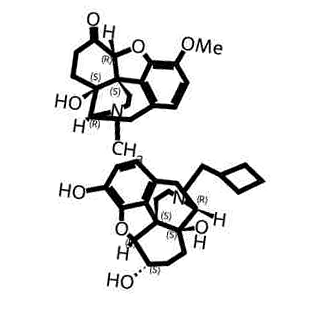 COc1ccc2c3c1O[C@H]1C(=O)CC[C@@]4(O)[C@@H](C2)N(C)CC[C@]314.Oc1ccc2c3c1O[C@H]1[C@@H](O)CC[C@@]4(O)[C@@H](C2)N(CC2CCC2)CC[C@]314